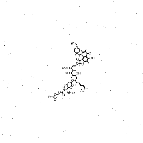 CCCCCC[C@H](NC(=O)OCOC(=O)CC)C(=O)N(C)CC(=O)O[C@H]([C@@H](C)[C@@H](O)[C@@H](C)[C@H](O)[C@H](C)[C@H](/C=C/O[C@@]1(C)Oc2c(C)c(O)c3c(c2C1=O)/C(=N/C1(C)CCN(CC(C)C)CC1)C(C)=C(C)C3=O)OC)[C@@H](C)/C=C/C=C(/C)C(C)=O